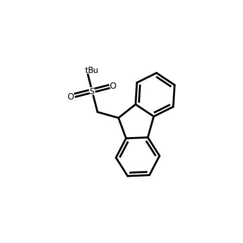 CC(C)(C)S(=O)(=O)CC1c2ccccc2-c2ccccc21